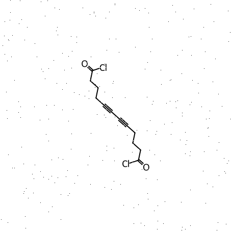 O=C(Cl)CCCC#CC#CCCCC(=O)Cl